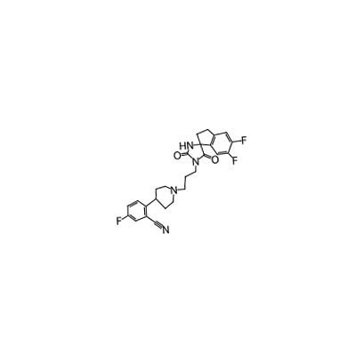 N#Cc1cc(F)ccc1C1CCN(CCCN2C(=O)NC3(CCc4cc(F)c(F)cc43)C2=O)CC1